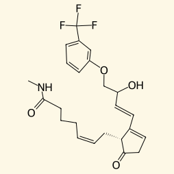 CNC(=O)CCC/C=C\C[C@H]1C(=O)CC=C1/C=C/C(O)COc1cccc(C(F)(F)F)c1